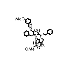 CC[C@H](C)C1(NC(=O)COC)CCN([C@@H](CCc2ccccc2)C(=O)N[C@@H](Cc2ccccc2)[C@H](O)CNCc2cccc(OC)c2)C1=O